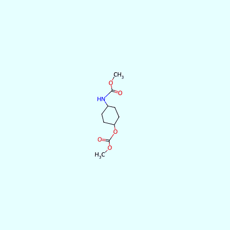 COC(=O)NC1CCC(OC(=O)OC)CC1